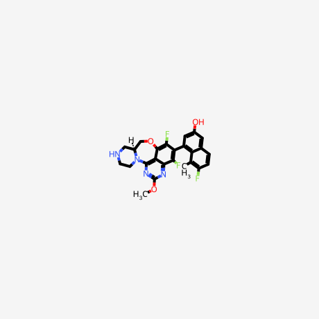 COc1nc2c3c(c(F)c(-c4cc(O)cc5ccc(F)c(C)c45)c(F)c3n1)OC[C@@H]1CNCCN21